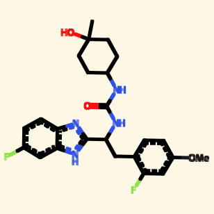 COc1ccc(CC(NC(=O)NC2CCC(C)(O)CC2)c2nc3ccc(F)cc3[nH]2)c(F)c1